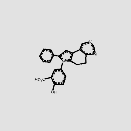 O=C(O)c1cc(-n2c(-c3ccccc3)cc3c2CCc2ncncc2-3)ccc1O